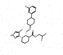 Cc1c[nH]nc1[C@H]1CCCN(C(=O)OCC(F)F)[C@H]1COC1CCC(c2cccc(F)c2)CC1